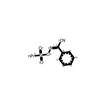 CCCS(=O)(=O)O/N=C(/C#N)c1ccccc1